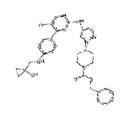 N#CC1(CNc2ccc(-c3nc(Nc4cnn(C5CCN(C(=O)OCc6ccccc6)CC5)c4)ncc3Cl)cc2)CC1